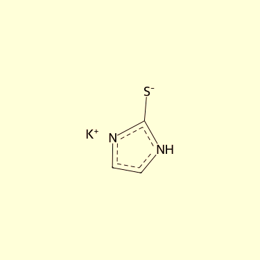 [K+].[S-]c1ncc[nH]1